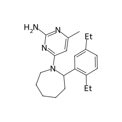 CCc1ccc(CC)c(C2CCCCCN2c2cc(C)nc(N)n2)c1